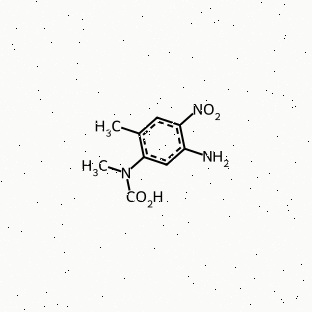 Cc1cc([N+](=O)[O-])c(N)cc1N(C)C(=O)O